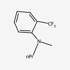 [CH2]CCN(C)c1ccccc1C(F)(F)F